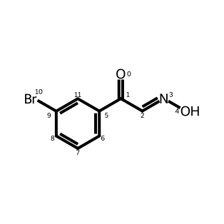 O=C(/C=N/O)c1cccc(Br)c1